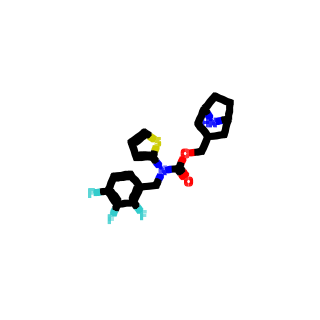 O=C(OCC1CC2CCC(C1)N2)N(Cc1ccc(F)c(F)c1F)c1cccs1